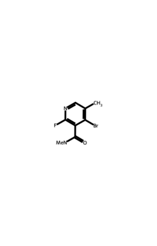 CNC(=O)c1c(F)ncc(C)c1Br